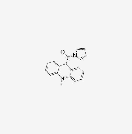 CN1c2ccccc2C(C(=O)n2cccc2)c2ccccc21